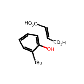 CC(C)(C)c1ccccc1O.O=C(O)C=CC(=O)O